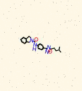 CC(C)CCc1nc(-c2ccc(NC(=O)N3CCc4ccccc4C3)cc2)no1